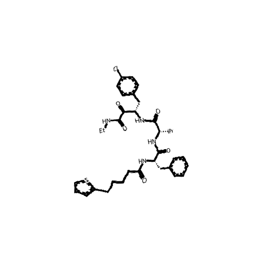 CCNC(=O)C(=O)[C@H](Cc1ccc(Cl)cc1)NC(=O)[C@@H](NC(=O)[C@H](Cc1ccccc1)NC(=O)CCCCc1cccs1)C(C)C